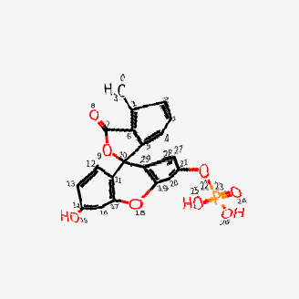 Cc1cccc2c1C(=O)OC21c2ccc(O)cc2Oc2cc(OP(=O)(O)O)ccc21